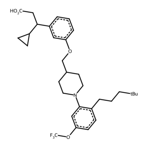 CC(C)(C)CCCc1ccc(OC(F)(F)F)cc1N1CCC(COc2cccc(C(CC(=O)O)C3CC3)c2)CC1